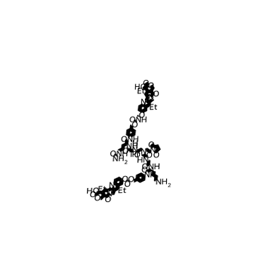 CCc1c2c(nc3ccc(OCNC(=O)OCc4ccc(NC(=O)C(CCCNC(N)=O)NC(=O)[C@@H](NC(=O)CN(CCN5C(=O)C=CC5=O)CC(=O)NCC(=O)N[C@@H](CCCCN)C(=O)Nc5ccc(COC(=O)Oc6ccc7nc8c(c(CC)c7c6)Cn6c-8cc7c(c6=O)COC(=O)[C@]7(O)CC)cc5)C(C)C)cc4)cc13)-c1cc3c(c(=O)n1C2)COC(=O)[C@]3(O)CC